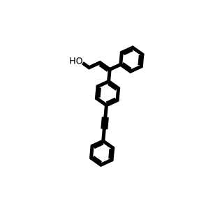 OCC=C(c1ccccc1)c1ccc(C#Cc2ccccc2)cc1